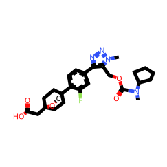 CN(C(=O)OCc1c(-c2ccc(C34CCC(CC(=O)O)(CC3)OC4)c(F)c2)nnn1C)C1CCCC1